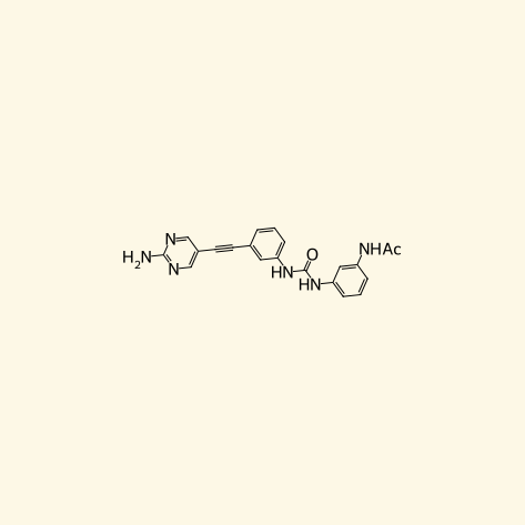 CC(=O)Nc1cccc(NC(=O)Nc2cccc(C#Cc3cnc(N)nc3)c2)c1